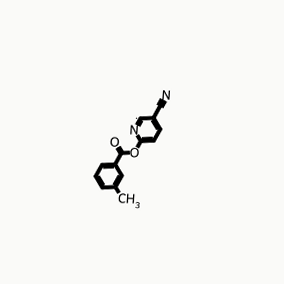 Cc1cccc(C(=O)Oc2ccc(C#N)[c]n2)c1